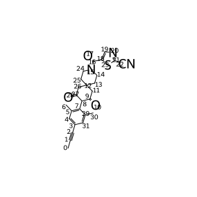 CC#Cc1cc(C)c(C2C(=O)CC3(CCN(C(=O)c4cnc(C#N)s4)CC3)CC2=O)c(C)c1